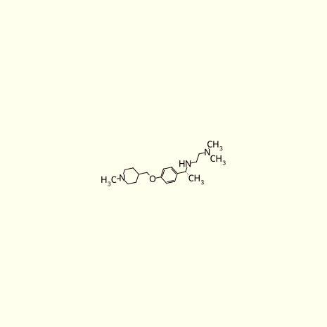 C[C@@H](NCCN(C)C)c1ccc(OCC2CCN(C)CC2)cc1